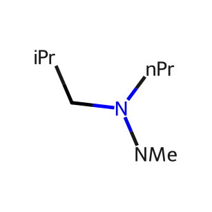 [CH2]NN(CCC)CC(C)C